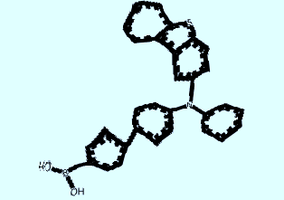 OB(O)c1ccc(-c2ccc(N(c3ccccc3)c3ccc4sc5ccccc5c4c3)cc2)cc1